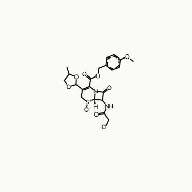 COc1ccc(COC(=O)C2=C(C3OCC(C)O3)C[S+]([O-])[C@H]3C(NC(=O)CCl)C(=O)N23)cc1